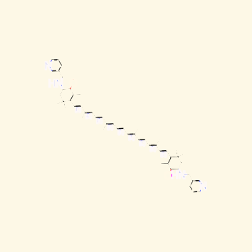 CC1=C(/C=C/C(C)=C/C=C/C(C)=C/C=C/C=C(C)/C=C/C=C(C)/C=C/C2=C(C)C(=O)C(NCc3cccnc3)CC2(C)C)C(C)(C)CC(NCc2cccnc2)C1=O